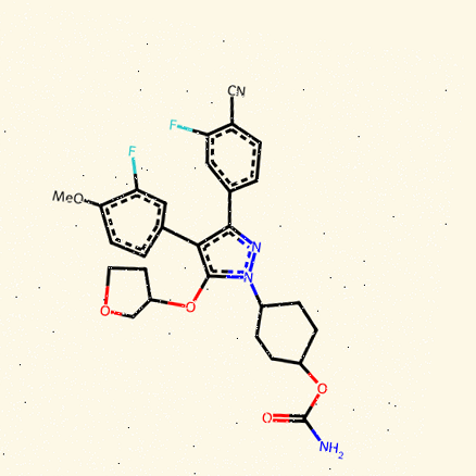 COc1ccc(-c2c(-c3ccc(C#N)c(F)c3)nn(C3CCC(OC(N)=O)CC3)c2OC2CCOC2)cc1F